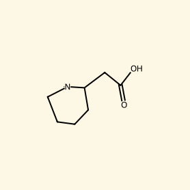 O=C(O)CC1CCCC[N]1